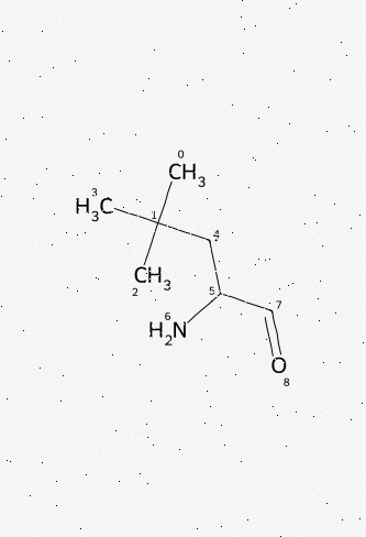 CC(C)(C)[CH]C(N)C=O